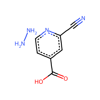 N#Cc1cc(C(=O)O)ccn1.NN